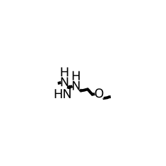 CCOCCCNC(=N)NC